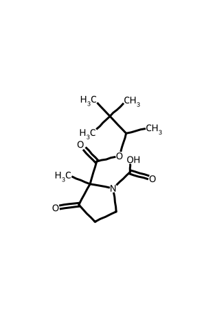 CC(OC(=O)C1(C)C(=O)CCN1C(=O)O)C(C)(C)C